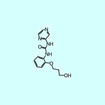 O=C(Nc1cnccn1)Nc1ccccc1OCCCO